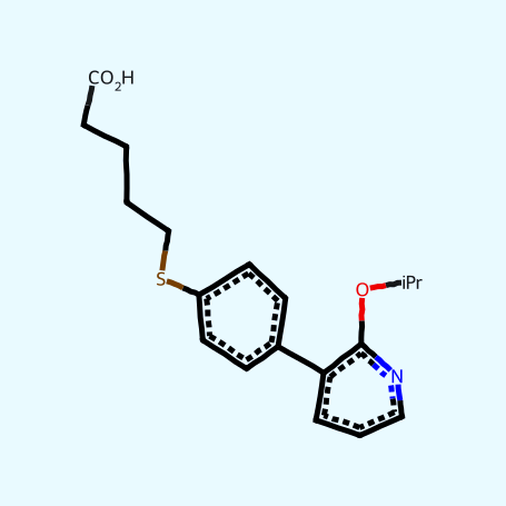 CC(C)Oc1ncccc1-c1ccc(SCCCCC(=O)O)cc1